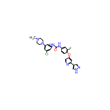 CN1CCN(c2cc(Cl)cc(NC(=O)Nc3ccc(Oc4ccnc(-c5cn[nH]c5)c4)c(F)c3)c2)CC1